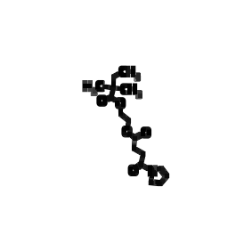 CCC(C)(C)C(=O)OCCOC(=O)CCC(=O)n1cccc1